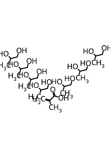 C=C(C)C(=O)O.CC(O)CO.CC(O)CO.CC(O)CO.CC(O)CO.CC(O)CO.CC(O)CO.CC(O)CO